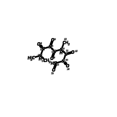 C[SiH](C)[Si](=O)[Si](=O)[Si](=O)[SiH](C)[Si](=O)[Si](=O)[SiH]=O